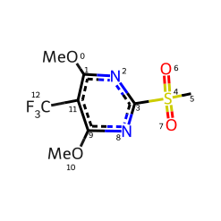 COc1nc(S(C)(=O)=O)nc(OC)c1C(F)(F)F